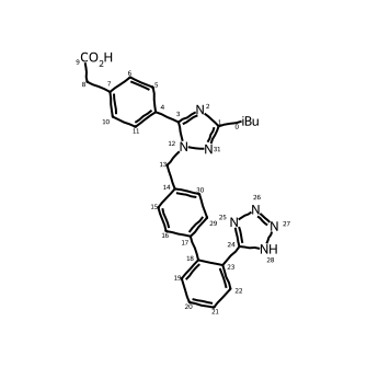 CCC(C)c1nc(-c2ccc(CC(=O)O)cc2)n(Cc2ccc(-c3ccccc3-c3nnn[nH]3)cc2)n1